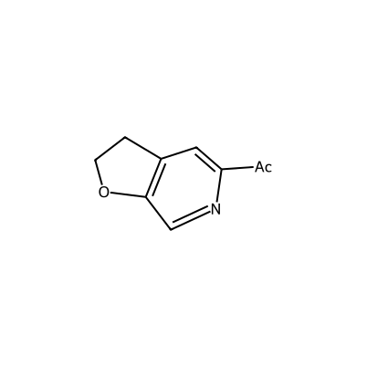 CC(=O)c1cc2c(cn1)OCC2